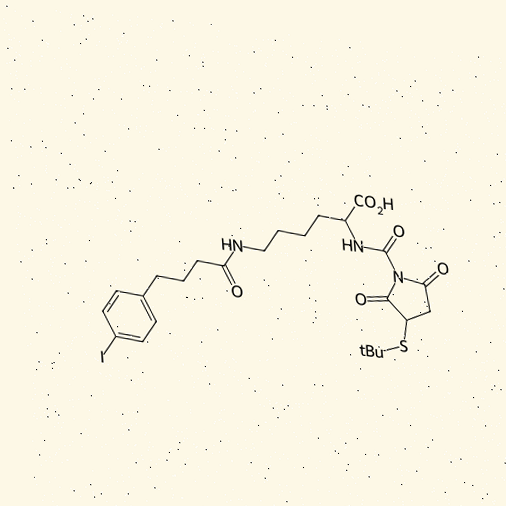 CC(C)(C)SC1CC(=O)N(C(=O)NC(CCCCNC(=O)CCCc2ccc(I)cc2)C(=O)O)C1=O